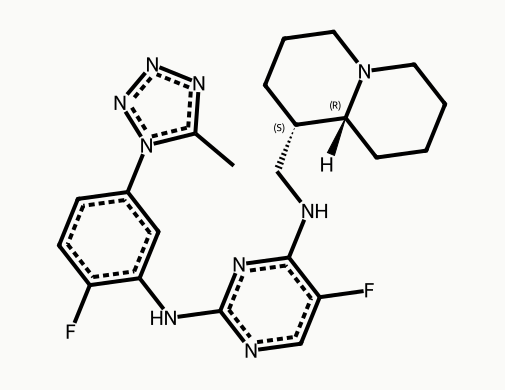 Cc1nnnn1-c1ccc(F)c(Nc2ncc(F)c(NC[C@@H]3CCCN4CCCC[C@H]34)n2)c1